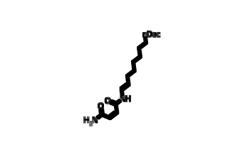 CCCCCCCCCCCCCCCCC=CNC(=O)/C=C\C(N)=O